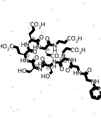 O=C(O)CCNC(=O)[C@H](CC(=O)O)NC(=O)[C@H](CCC(=O)O)NC(=O)[C@H](CCC(=O)O)NC(=O)[C@H](CO)NC(=O)[C@H](CO)NC(=O)[C@H](CCC(=O)O)NC(=O)CNC(=O)CNc1ccccn1